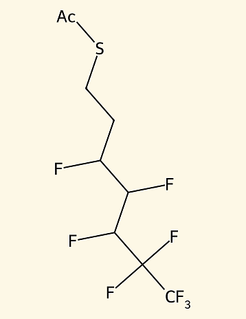 CC(=O)SCCC(F)C(F)C(F)C(F)(F)C(F)(F)F